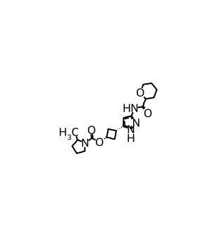 CC1CCCN1C(=O)O[C@H]1C[C@@H](c2cc(NC(=O)C3CCCCO3)n[nH]2)C1